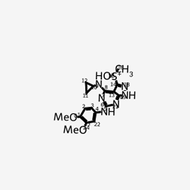 COc1ccc(Nc2nc(NC3CC3)c3c([S+](C)[O-])n[nH]c3n2)cc1OC